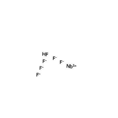 F.[F-].[F-].[F-].[F-].[F-].[Nb+5]